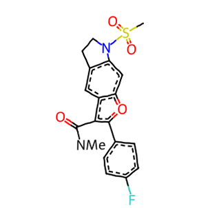 CNC(=O)c1c(-c2ccc(F)cc2)oc2cc3c(cc12)CCN3S(C)(=O)=O